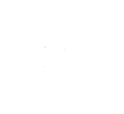 CCN(CC)CC(CCCNCCCc1ccccc1)(c1ccccc1)C(C)C